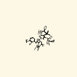 Cc1nc2c(cc1F)c(-c1nc3c(c(C(=O)NC4CC4)n1)C(C)(C)C(=O)N3)nn2Cc1cccc(F)c1F